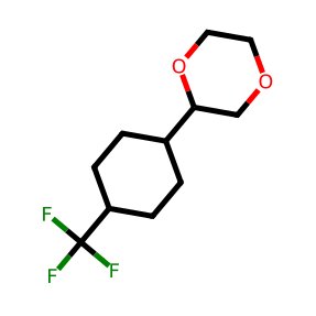 FC(F)(F)C1CCC(C2COCCO2)CC1